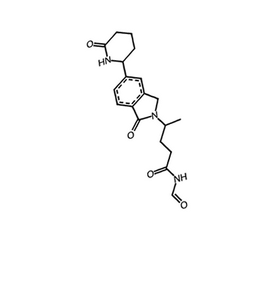 CC(CCC(=O)NC=O)N1Cc2cc(C3CCCC(=O)N3)ccc2C1=O